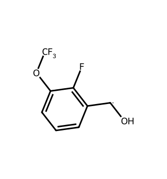 O[CH]c1cccc(OC(F)(F)F)c1F